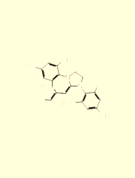 [CH]C=C(C)C=C1N(c2c(C)cc(C)cc2C)CCN1c1c(C)cc(C)cc1C